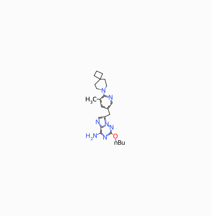 CCCCOc1nc(N)c2ncc(Cc3cnc(N4CCC5(CCC5)CC4)c(C)c3)n2n1